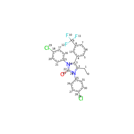 CCc1c(-c2cccc(C(F)(F)F)c2)n(-c2ccc(Cl)cc2)c(=O)n1-c1ccc(Cl)cc1